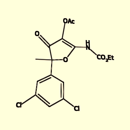 CCOC(=O)NC1=C(OC(C)=O)C(=O)C(C)(c2cc(Cl)cc(Cl)c2)O1